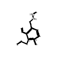 C=Cc1c(CNNC)ccc(C)c1CCC